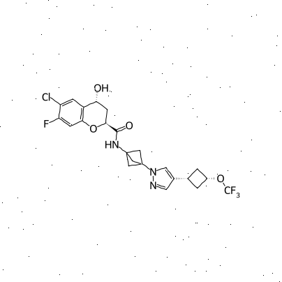 O=C(NC12CC(n3cc([C@H]4C[C@@H](OC(F)(F)F)C4)cn3)(C1)C2)[C@@H]1C[C@@H](O)c2cc(Cl)c(F)cc2O1